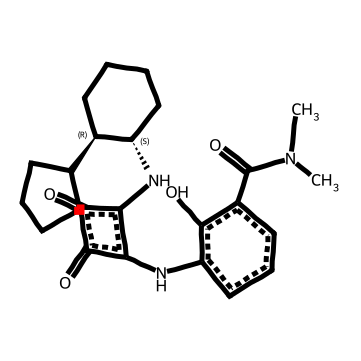 CN(C)C(=O)c1cccc(Nc2c(N[C@H]3CCCC[C@@H]3C3CCCC3)c(=O)c2=O)c1O